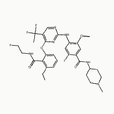 CCc1cccc(Oc2nc(Nc3cc(F)c(C(=O)NC4CCN(C)CC4)cc3OC)ncc2C(F)(F)F)c1C(=O)NCCF